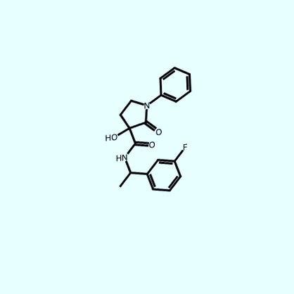 CC(NC(=O)C1(O)CCN(c2ccccc2)C1=O)c1cccc(F)c1